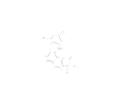 Fc1cc(Cl)cc(Nc2ccnc3ccc(C(F)(F)F)cc23)c1